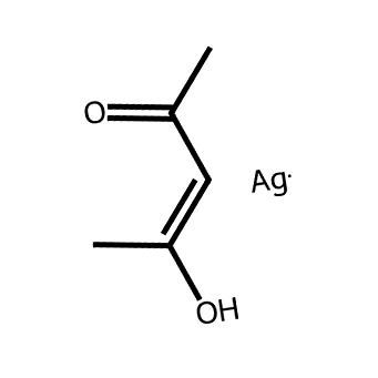 CC(=O)/C=C(\C)O.[Ag]